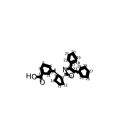 O=C(O)c1cccc(C[C@@H]2CCC[C@H]2c2nc(-c3ccccc3)c(-c3ccccc3)o2)c1